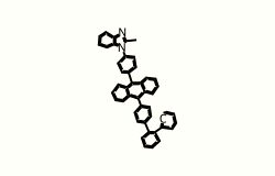 Cc1nc2ccccc2n1-c1ccc(-c2c3ccccc3c(-c3ccc(-c4ccccc4-c4ccccc4)cc3)c3ccccc23)cc1